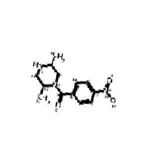 C[C@H]1CN(C(=O)c2ccc([N+](=O)[O-])cc2)[C@@H](C)CN1